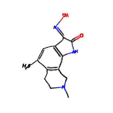 Bc1cc2c(c3c1CCN(C)C3)NC(=O)/C2=N\O